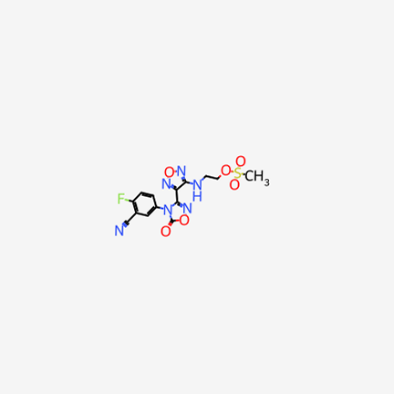 CS(=O)(=O)OCCNc1nonc1-c1noc(=O)n1-c1ccc(F)c(C#N)c1